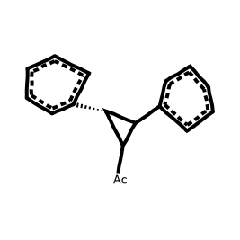 CC(=O)C1C(c2ccccc2)[C@H]1c1ccccc1